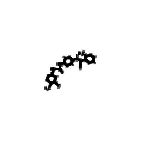 Cc1ccc(NC(=S)Nc2ccc(NC(=O)c3ccccc3C)cc2)cc1Cl